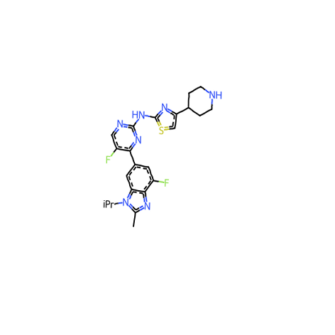 Cc1nc2c(F)cc(-c3nc(Nc4nc(C5CCNCC5)cs4)ncc3F)cc2n1C(C)C